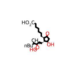 CCCCC(C)C(C=C[C@H]1[C@H](O)CC(=O)[C@@H]1CCCCCCC(=O)O)OO